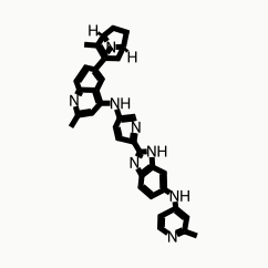 CC1=C(c2ccc3nc(C)cc(Nc4ccc(-c5nc6ccc(Nc7ccnc(C)c7)cc6[nH]5)nc4)c3c2)C[C@H]2CC[C@@H]1N2C